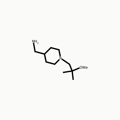 COC(C)(C)CN1CCC(CN)CC1